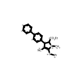 CCOC(=O)C1C(c2ccc(-c3ccccc3)cc2)C(C#N)=C(SC(C)C)N1C